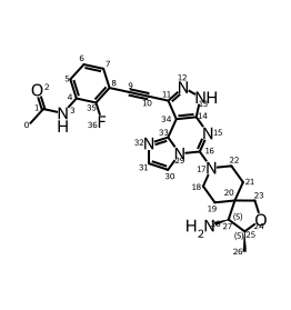 CC(=O)Nc1cccc(C#Cc2n[nH]c3nc(N4CCC5(CC4)CO[C@@H](C)[C@H]5N)n4ccnc4c23)c1F